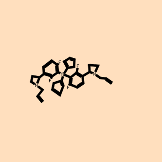 C=CCN1CCC1c1ccc(F)[c]([Ti]([C]2=CC=CC2)([C]2=CC=CC2)[c]2c(F)ccc(C3CCN3CC=C)c2F)c1F